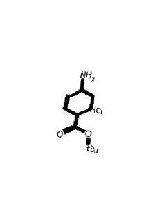 CC(C)(C)OC(=O)C1CCC(N)CC1.Cl